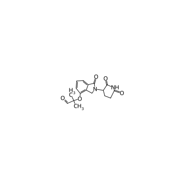 CC(C)(C=O)Oc1cccc2c1CN(C1CCC(=O)NC1=O)C2=O